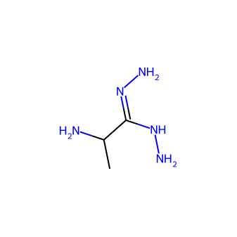 CC(N)/C(=N/N)NN